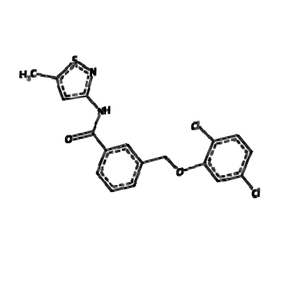 Cc1cc(NC(=O)c2cccc(COc3cc(Cl)ccc3Cl)c2)ns1